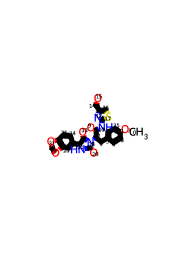 COc1ccc(CC(C(=O)Nc2nc([C]=O)cs2)N2C(=O)NC(c3ccc4c(c3)OCO4)C2=O)cc1